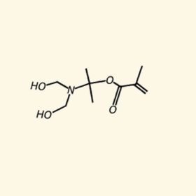 C=C(C)C(=O)OC(C)(C)N(CO)CO